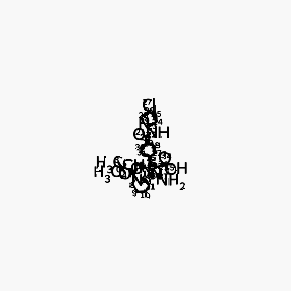 CC(C)(C)OC(=O)N1CCCC[C@H]1c1nc(-c2ccc(C(=O)Nc3ccc(Cl)cn3)cc2)c(C(=O)O)n1N